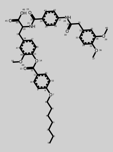 CCCCCCCOc1ccc(C(=O)Oc2ccc(CC(NC(=O)c3ccc(NC(=O)Cc4ccc(OC)c(OC)c4)cc3)C(=O)O)cc2OC)cc1